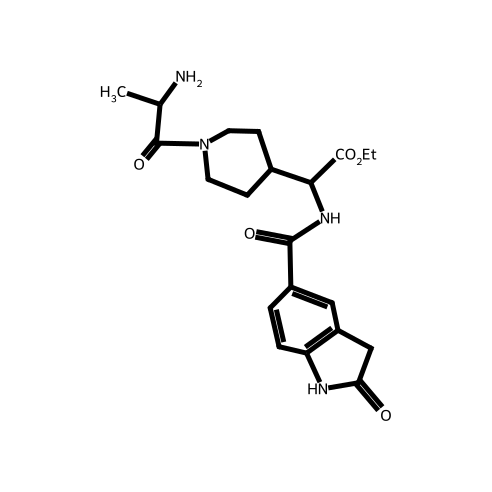 CCOC(=O)C(NC(=O)c1ccc2c(c1)CC(=O)N2)C1CCN(C(=O)C(C)N)CC1